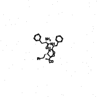 CC(C)CC[C@H](NC(=O)[C@H](Cc1ccccc1)NC(=O)[C@@H](N)Cc1ccccc1)C(=O)[C@@]1(C)CO1